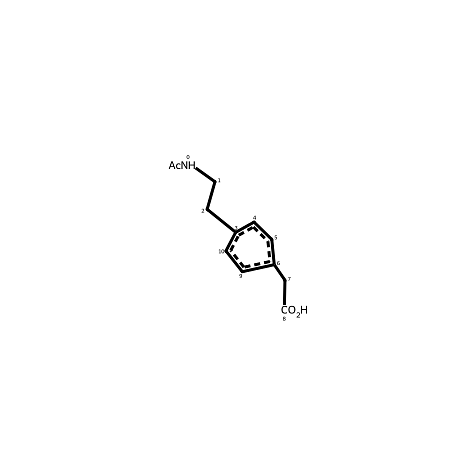 CC(=O)NCCc1ccc(CC(=O)O)cc1